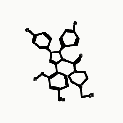 CCOc1cc(C(C)(C)C)ccc1C1=N[C@@H](c2ccc(Cl)cc2)[C@@H](c2ccc(Cl)cc2)N1C(=O)N1CCN(CC#N)CC1